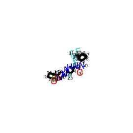 CN(C(=O)Nc1cnc(-n2cnc([C@@]3(C)CCCS3(=O)=O)c2)c(F)c1)c1cccc(C(F)(F)F)c1F